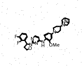 CCN1C2CC1CN(C1CCN(c3ccc(Nc4ccnc(N5OCCC5c5cccc(F)c5F)n4)c(OC)c3)CC1)C2